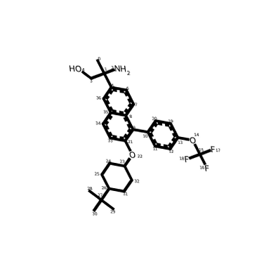 CC(N)(CO)c1ccc2c(-c3ccc(OC(F)(F)F)cc3)c(OC3CCC(C(C)(C)C)CC3)ccc2c1